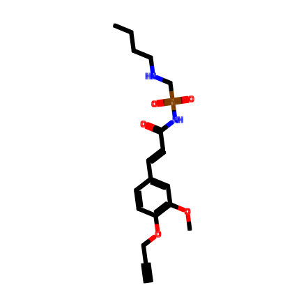 C#CCOc1ccc(/C=C/C(=O)NS(=O)(=O)CNCCCC)cc1OC